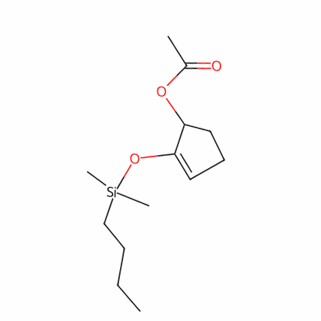 CCCC[Si](C)(C)OC1=CCCC1OC(C)=O